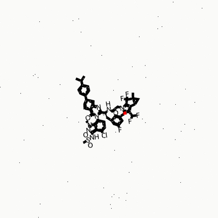 CC(C)c1ccc(-c2ccc3c(=O)n(-c4ccc(Cl)c5c(NS(C)(=O)=O)nn(C)c45)c([C@H](Cc4cc(F)cc(F)c4)NC(=O)Cn4nc(C(F)F)c5c4C(F)(F)C4(C)CC54)nc3c2)cc1